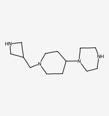 C1CN(C2CCN(CC3CNC3)CC2)CCN1